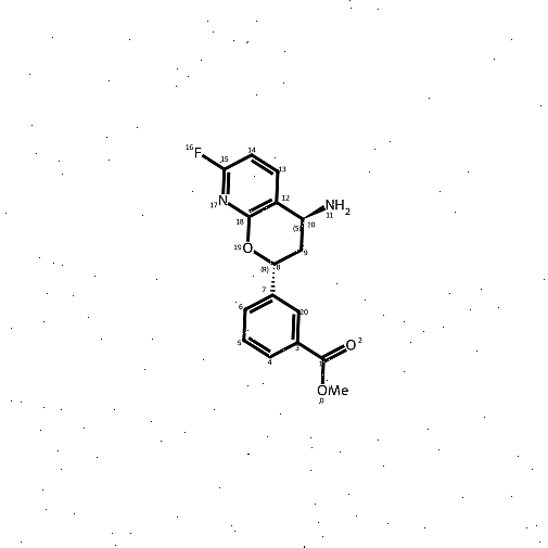 COC(=O)c1cccc([C@H]2C[C@H](N)c3ccc(F)nc3O2)c1